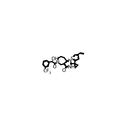 C=Cc1csc(C2(c3nc4c(c(=O)[nH]3)CN(C(=O)[C@H](O)c3cccc(C(F)(F)F)c3)CCC4)CC2)c1